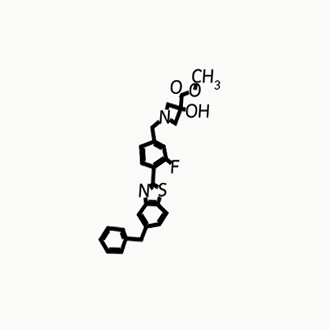 COC(=O)C1(O)CN(Cc2ccc(-c3nc4cc(Cc5ccccc5)ccc4s3)c(F)c2)C1